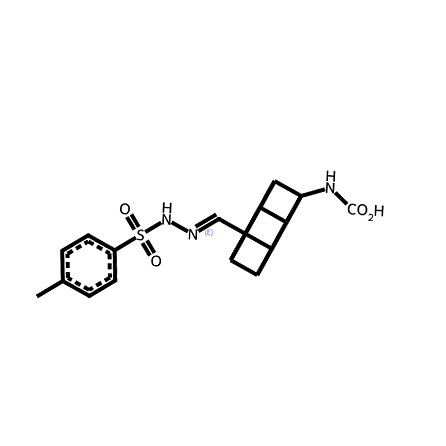 Cc1ccc(S(=O)(=O)N/N=C/C23C4C5C2C2C3C4C52NC(=O)O)cc1